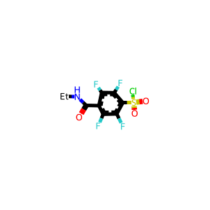 CCNC(=O)c1c(F)c(F)c(S(=O)(=O)Cl)c(F)c1F